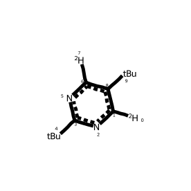 [2H]c1nc(C(C)(C)C)nc([2H])c1C(C)(C)C